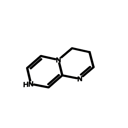 C1=CN2CCC=NC2=CN1